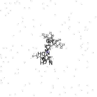 CCCCNn1c(O)c(/N=N/c2ccc(C(=O)N(CC(CC)CCCC)CC(CC)CCCC)cc2)c(C)c(C#N)c1=O